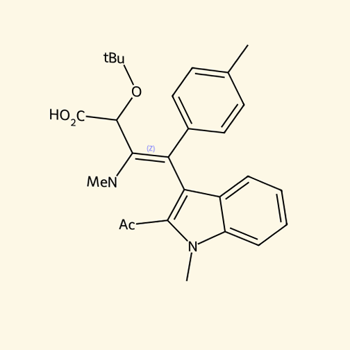 CN/C(=C(/c1ccc(C)cc1)c1c(C(C)=O)n(C)c2ccccc12)C(OC(C)(C)C)C(=O)O